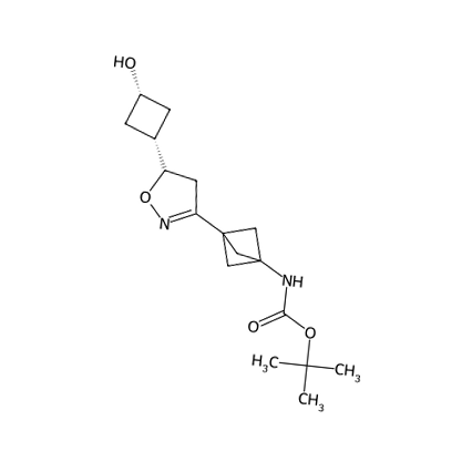 CC(C)(C)OC(=O)NC12CC(C3=NOC([C@H]4C[C@@H](O)C4)C3)(C1)C2